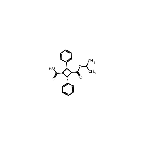 CC(C)OC(=O)[C@H]1[C@H](c2ccccc2)[C@@H](C(=O)O)[C@H]1c1ccccc1